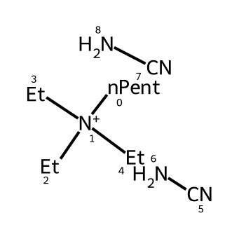 CCCCC[N+](CC)(CC)CC.N#CN.N#CN